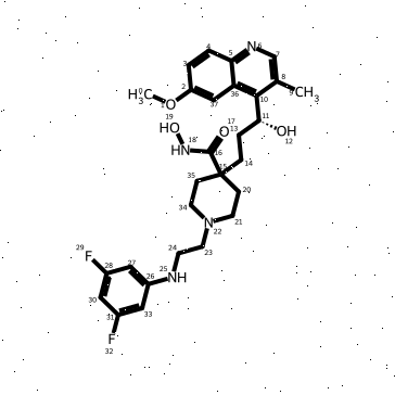 COc1ccc2ncc(C)c([C@H](O)CCC3(C(=O)NO)CCN(CCNc4cc(F)cc(F)c4)CC3)c2c1